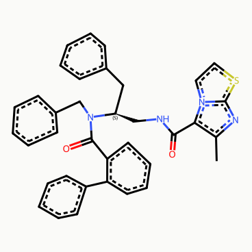 Cc1nc2sccn2c1C(=O)NC[C@H](Cc1ccccc1)N(Cc1ccccc1)C(=O)c1ccccc1-c1ccccc1